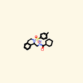 Cc1ccc(S(=O)(=O)N2CCc3ccccc3C2CNC(=O)C2CCCCC2)cc1